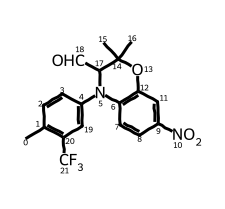 Cc1ccc(N2c3ccc([N+](=O)[O-])cc3OC(C)(C)C2C=O)cc1C(F)(F)F